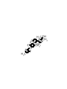 Cc1cnc(COc2cc(C)c(-n3c(C)c(-c4ccnc(C(C)(C)O)n4)ccc3=O)c(F)c2Cl)c(F)c1